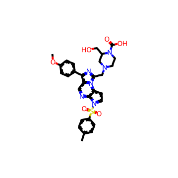 COc1ccc(-c2nc(CN3CCN(C(=O)O)C(CO)C3)n3c2cnc2c3ccn2S(=O)(=O)c2ccc(C)cc2)cc1